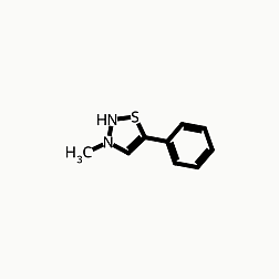 CN1C=C(c2ccccc2)SN1